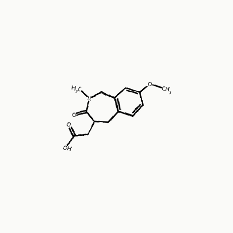 COc1ccc2c(c1)CN(C)C(=O)C(CC(=O)O)C2